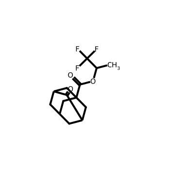 CC(OC(=O)C12CC3CC(C1)C(=O)C(C3)C2)C(F)(F)F